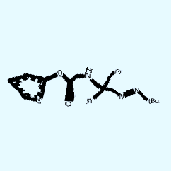 CC(C)C(/N=N/C(C)(C)C)(NC(=O)Oc1cccs1)C(C)C